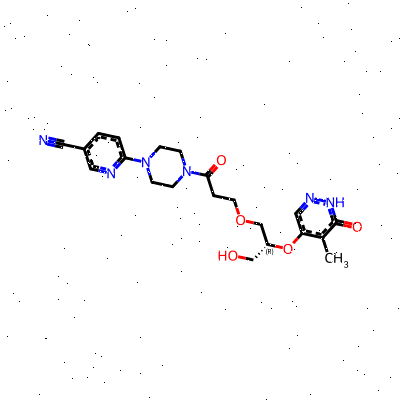 Cc1c(O[C@H](CO)COCCC(=O)N2CCN(c3ccc(C#N)cn3)CC2)cn[nH]c1=O